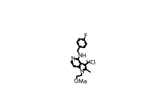 COCCn1c(C)c(C)c2c(NCc3ccc(F)cc3)nccc21.Cl